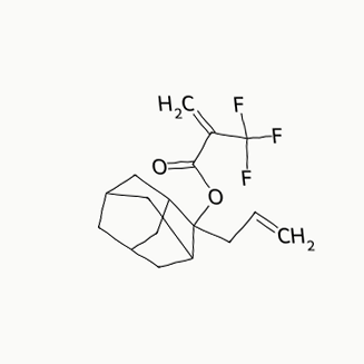 C=CCC1(OC(=O)C(=C)C(F)(F)F)C2CC3CC(C2)CC1C3